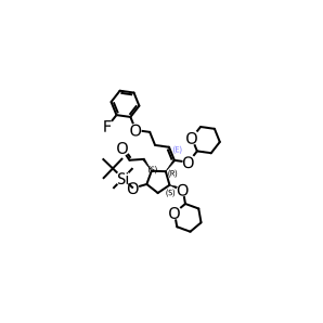 CC(C)(C)[Si](C)(C)OC1C[C@H](OC2CCCCO2)[C@H](/C(=C\CCOc2ccccc2F)OC2CCCCO2)[C@@H]1CC=O